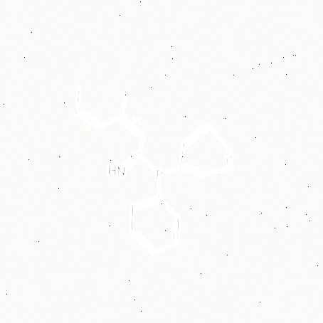 C/C=C\C(C)=C/C(=N)P(c1ccccc1)c1ccccc1